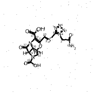 NC(=O)Cn1nnnc1SCC1=C(C(=O)O)N2C(=O)[C@@H]3[C@H]2[C@@H](CN3C(=O)O)O1